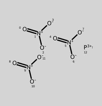 O=[N+]([O-])[O-].O=[N+]([O-])[O-].O=[N+]([O-])[O-].[P+3]